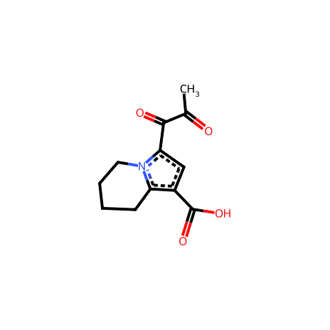 CC(=O)C(=O)c1cc(C(=O)O)c2n1CCCC2